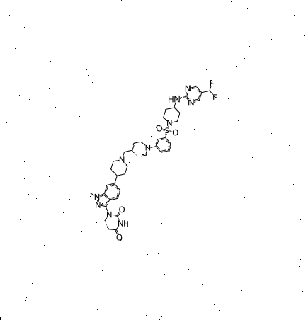 Cn1nc(N2CCC(=O)NC2=O)c2ccc(C3CCN(CC4CCN(c5cccc(S(=O)(=O)N6CCC(Nc7ncc(C(F)F)cn7)CC6)c5)CC4)CC3)cc21